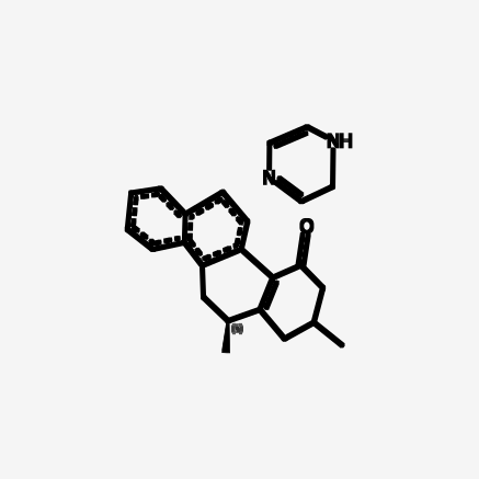 C1=CNCC=N1.CC1CC(=O)C2=C(C1)[C@@H](C)Cc1c2ccc2ccccc12